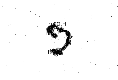 O=C1CCC(N2C(=O)c3cccc(OCCOCCOCc4cn(CCCC(=O)N5CCN(CC#Cc6ccc(OCCCc7sc(N8CCc9cccc(C(=O)Nc%10nc%11ccccc%11s%10)c9C8)nc7C(=O)O)c(F)c6)CC5)nn4)c3C2=O)C(=O)N1